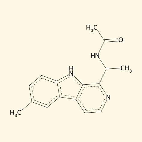 CC(=O)NC(C)c1nccc2c1[nH]c1ccc(C)cc12